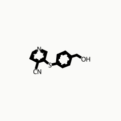 N#Cc1ccncc1Sc1ccc(CO)cc1